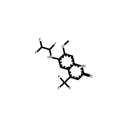 COc1cc2[nH]c(=O)cc(C(F)(F)F)c2cc1NC(F)C(F)F